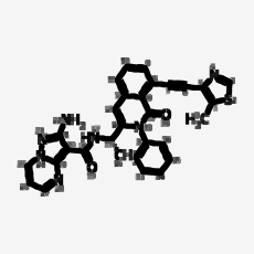 Cc1scnc1C#Cc1cccc2cc([C@H](C)NC(=O)c3c(N)nn4cccnc34)n(-c3ccccc3)c(=O)c12